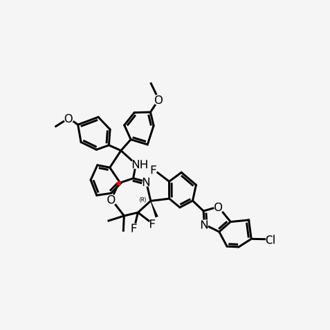 COc1ccc(C(NC2=N[C@](C)(c3cc(-c4nc5ccc(Cl)cc5o4)ccc3F)C(F)(F)C(C)(C)OC2)(c2ccccc2)c2ccc(OC)cc2)cc1